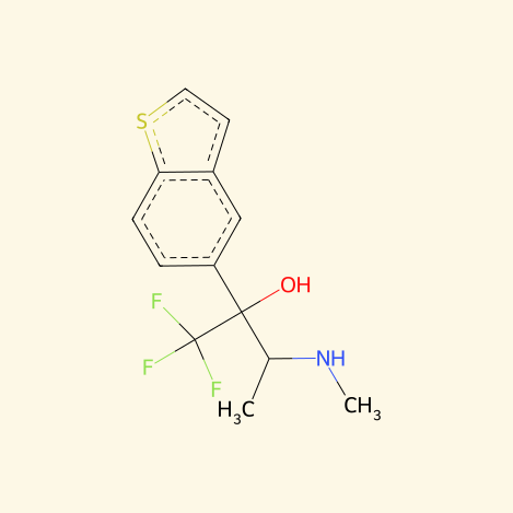 CNC(C)C(O)(c1ccc2sccc2c1)C(F)(F)F